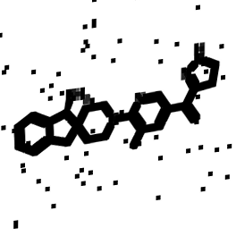 C=C(C1=NNCC1)c1cnc(N2CCC3(CC2)Cc2ccccc2[C@H]3N)c(C)c1